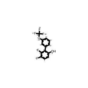 Oc1ccc(F)c(F)c1-c1cccc(OC(F)(F)F)c1